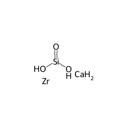 O=[Si](O)O.[CaH2].[Zr]